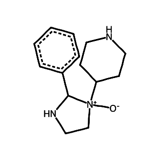 [O-][N+]1(C2CCNCC2)CCNC1c1ccccc1